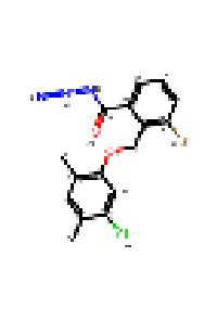 Cc1cc(C)c(OCc2c(Br)cccc2C(=O)N=[N+]=[N-])cc1Cl